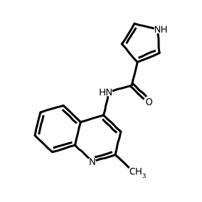 Cc1cc(NC(=O)c2cc[nH]c2)c2ccccc2n1